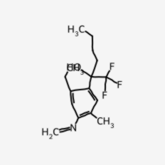 C=Nc1cc(CC)c(C(O)(CCCC)C(F)(F)F)cc1C